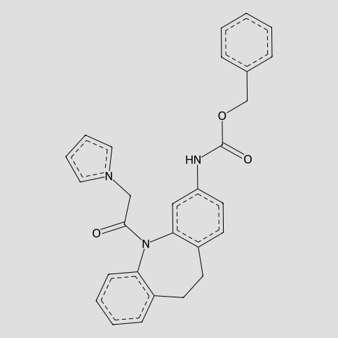 O=C(Nc1ccc2c(c1)N(C(=O)Cn1cccc1)c1ccccc1CC2)OCc1ccccc1